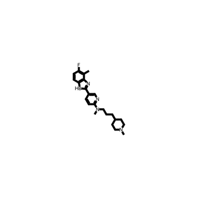 Cc1c(F)ccc2c1N=C(c1ccc(N(C)CCCC3CCN(C)CC3)nc1)B2